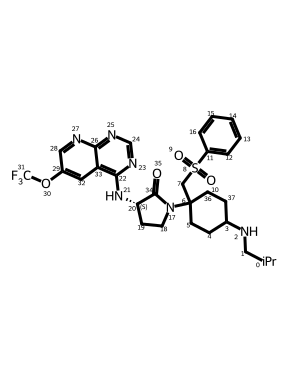 CC(C)CNC1CCC(CS(=O)(=O)c2ccccc2)(N2CC[C@H](Nc3ncnc4ncc(OC(F)(F)F)cc34)C2=O)CC1